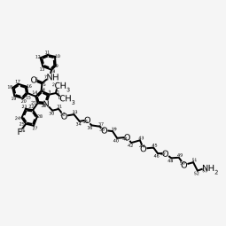 CC(C)c1c(C(=O)Nc2ccccc2)c(-c2ccccc2)c(-c2ccc(F)cc2)n1CCOCCOCCOCCOCCOCCOCCOCCN